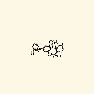 CC1=CC[C@@H]2[C@@H](C1)c1c(O)cc([C@H]3C[C@@H]4CC[C@]3(C)C4(C)C)cc1OC2(C)C